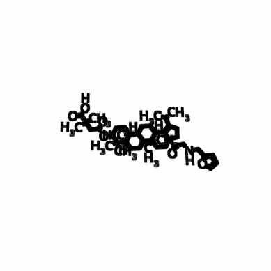 CC(C)C1=C2[C@H]3CC[C@@H]4[C@@]5(C)CC[C@H](OC(=O)CC(C)(C)C(=O)O)C(C)(C)[C@@H]5CC[C@@]4(C)[C@]3(C)CC[C@@]2(C(=O)CNCc2ccco2)CC1